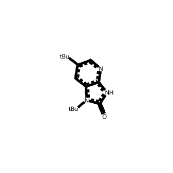 CC(C)(C)c1cnc2[nH]c(=O)n(C(C)(C)C)c2c1